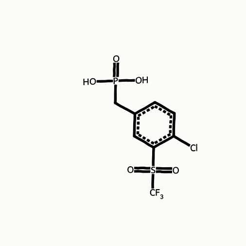 O=P(O)(O)Cc1ccc(Cl)c(S(=O)(=O)C(F)(F)F)c1